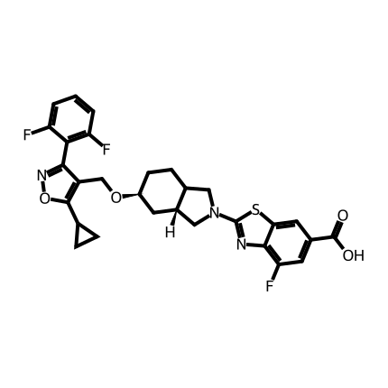 O=C(O)c1cc(F)c2nc(N3CC4CC[C@H](OCc5c(-c6c(F)cccc6F)noc5C5CC5)C[C@H]4C3)sc2c1